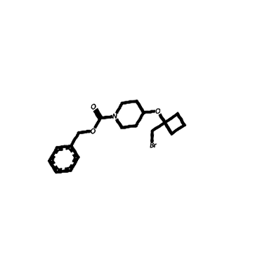 O=C(OCc1ccccc1)N1CCC(OC2(CBr)CCC2)CC1